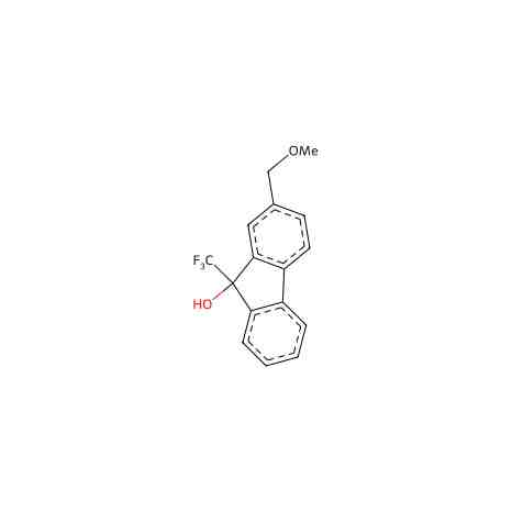 COCc1ccc2c(c1)C(O)(C(F)(F)F)c1ccccc1-2